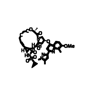 COc1ccc2c(O[C@@H]3C[C@H]4C(=O)N[C@]5(C(=O)NS(=O)(=O)C6CC6)C[C@H]5/C=C\CCCCO[C@H](C)C(=O)N4C3)cc(-c3cc(C)n(C)n3)nc2c1C